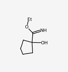 CCOC(=N)C1(O)CCCC1